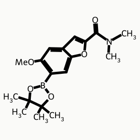 COc1cc2cc(C(=O)N(C)C)oc2cc1B1OC(C)(C)C(C)(C)O1